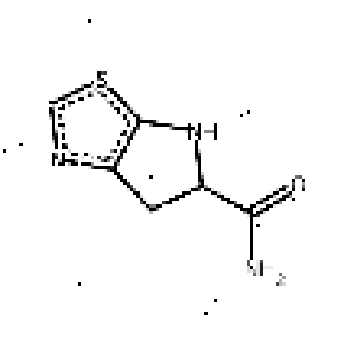 NC(=O)C1Cc2ncsc2N1